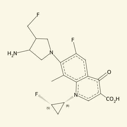 Cc1c(N2CC(N)C(CF)C2)c(F)cc2c(=O)c(C(=O)O)cn([C@@H]3C[C@@H]3F)c12